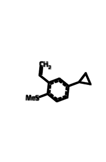 C=Cc1cc(C2CC2)ccc1SC